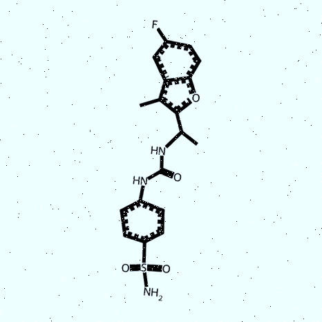 Cc1c(C(C)NC(=O)Nc2ccc(S(N)(=O)=O)cc2)oc2ccc(F)cc12